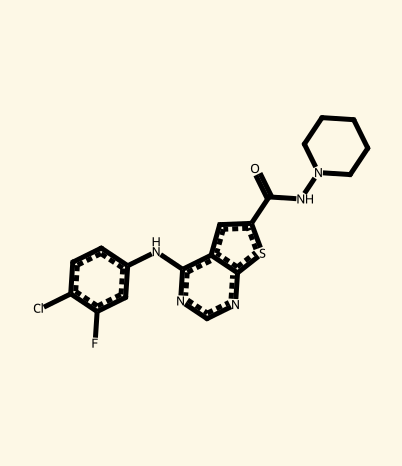 O=C(NN1CCCCC1)c1cc2c(Nc3ccc(Cl)c(F)c3)ncnc2s1